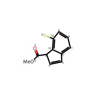 COC(=O)C1C=Cc2cccc(F)c21